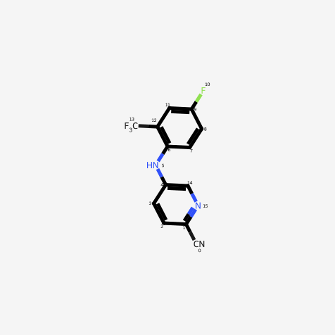 N#Cc1ccc(Nc2ccc(F)cc2C(F)(F)F)cn1